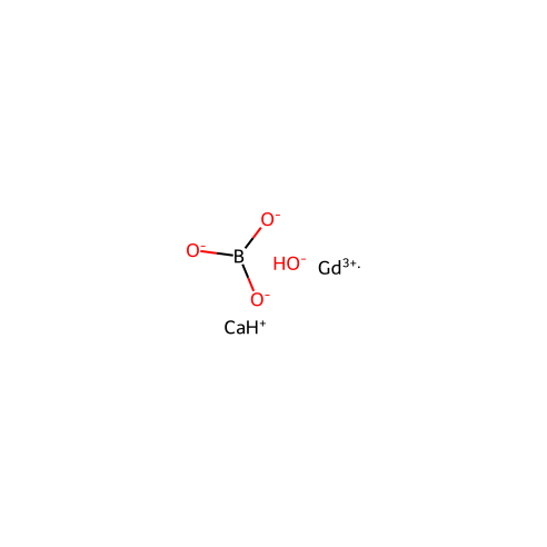 [CaH+].[Gd+3].[O-]B([O-])[O-].[OH-]